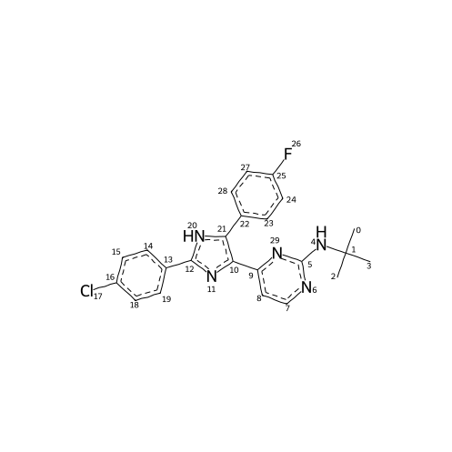 CC(C)(C)Nc1nccc(-c2nc(-c3ccc(Cl)cc3)[nH]c2-c2ccc(F)cc2)n1